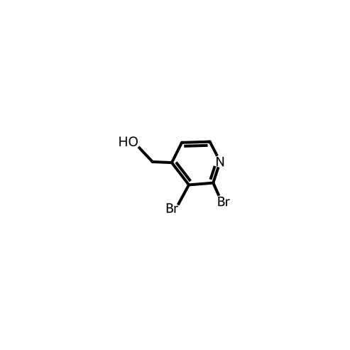 OCc1ccnc(Br)c1Br